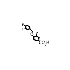 O=C(O)c1ccc(OCc2ccc(F)c(F)c2)c(Cl)c1